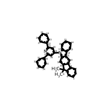 CC1(C)c2ccccc2-c2cc3c4ccccc4n(-c4cc(-c5ccccc5)nc(-c5ccccc5)c4)c3cc21